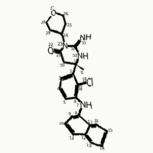 C[C@@]1(c2cccc(Nc3cccc4ccccc34)c2Cl)CC(=O)N(C2CCOCC2)C(=N)N1